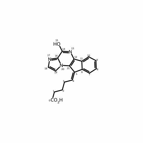 O=C(O)CCC/C=c1/c2ccccc2c2nc(O)c3nccn3c12